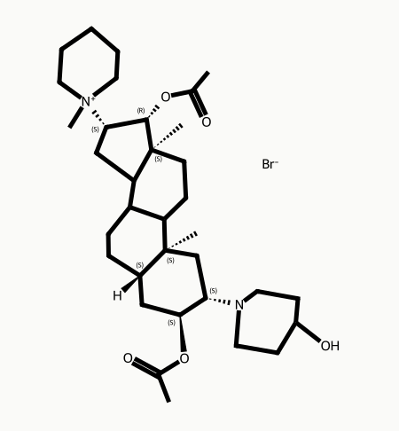 CC(=O)O[C@H]1C[C@@H]2CCC3C4C[C@H]([N+]5(C)CCCCC5)[C@H](OC(C)=O)[C@@]4(C)CCC3[C@@]2(C)C[C@@H]1N1CCC(O)CC1.[Br-]